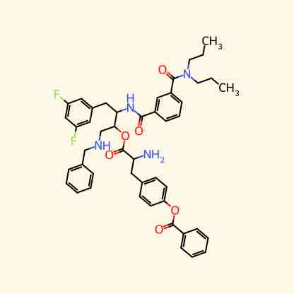 CCCN(CCC)C(=O)c1cccc(C(=O)NC(Cc2cc(F)cc(F)c2)C(CNCc2ccccc2)OC(=O)C(N)Cc2ccc(OC(=O)c3ccccc3)cc2)c1